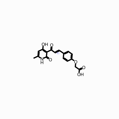 Cc1cc(O)c(C(=O)/C=C/c2ccc(OCC(=O)O)cc2)c(=O)[nH]1